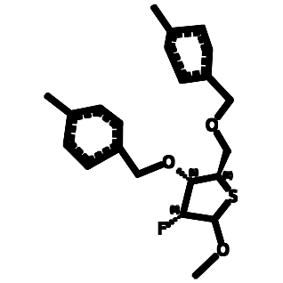 COC1S[C@H](COCc2ccc(C)cc2)[C@@H](OCc2ccc(C)cc2)[C@H]1F